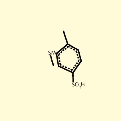 CSC.Cc1ccc(S(=O)(=O)O)cc1